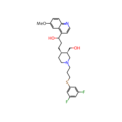 COc1ccc2nccc(C(O)CC[C@@H]3CCN(CCCSc4cc(F)cc(F)c4)C[C@@H]3CO)c2c1